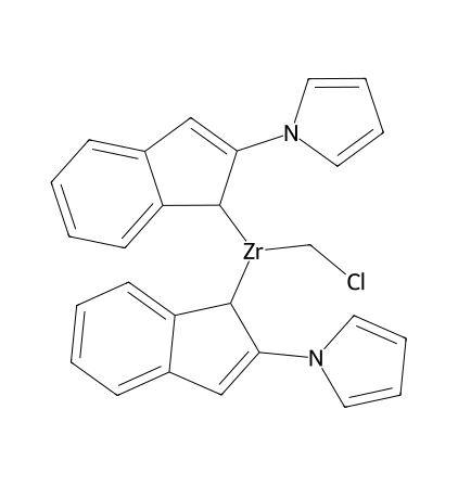 Cl[CH2][Zr]([CH]1C(n2cccc2)=Cc2ccccc21)[CH]1C(n2cccc2)=Cc2ccccc21